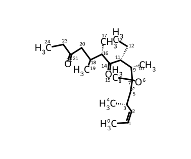 C/C=C\[C@H](C)[C@H]1OC1(C)[C@@H](C)[C@@H](CC)C(=O)[C@@H](C)C(C)CC(=O)CC